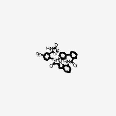 O=C(Nc1ccc(Br)cc1-c1noc(=O)[nH]1)c1cc2cccc(NC(=O)c3ccccc3-c3ccccc3)c2[nH]1